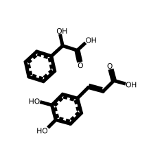 O=C(O)C(O)c1ccccc1.O=C(O)C=Cc1ccc(O)c(O)c1